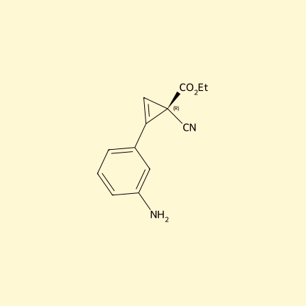 CCOC(=O)[C@]1(C#N)C=C1c1cccc(N)c1